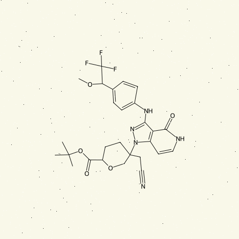 COC(c1ccc(Nc2nn(C3(CC#N)CCC(C(=O)OC(C)(C)C)OC3)c3cc[nH]c(=O)c23)cc1)C(F)(F)F